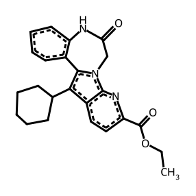 CCOC(=O)c1ccc2c(C3CCCCC3)c3n(c2n1)CC(=O)Nc1ccccc1-3